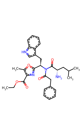 CCOC(=O)c1nc([C@@H](Cc2c[nH]c3ccccc23)N(C(=O)Cc2ccccc2)C(=O)[C@@H](N)CC(C)C)oc1C